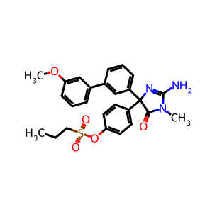 CCCS(=O)(=O)Oc1ccc(C2(c3cccc(-c4cccc(OC)c4)c3)N=C(N)N(C)C2=O)cc1